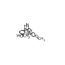 CCOC1CCC(Nc2ncc(C#N)c(N[C@@H]3CCC[C@](C)(O)C3)n2)CC1